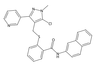 Cn1nc(-c2cccnc2)c(CSc2ccccc2C(=O)Nc2ccc3ccccc3c2)c1Cl